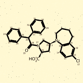 O=C(O)[C@@H]1C[C@H](N2CCCCc3cc(Cl)ccc32)CN1C(=O)C(c1ccccc1)c1ccccc1